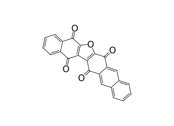 O=c1c2ccccc2c(=O)c2c1oc1c(=O)c3cc4ccccc4cc3c(=O)c12